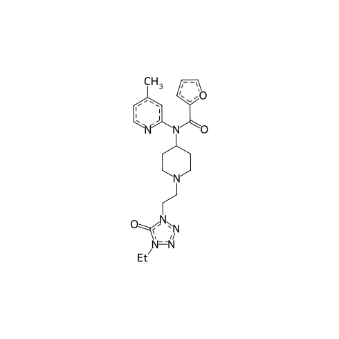 CCn1nnn(CCN2CCC(N(C(=O)c3ccco3)c3cc(C)ccn3)CC2)c1=O